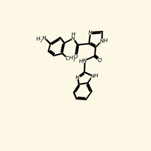 Cc1ccc(N)cc1NC(=O)c1nc[nH]c1C(=O)Nc1nc2ccccc2[nH]1